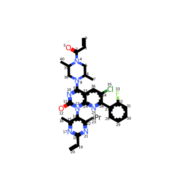 C=CC(=O)N1CC(C)N(c2nc(=O)n(-c3c(C)nc(C=C)nc3C(C)C)c3nc(-c4ccccc4F)c(Cl)cc23)CC1C